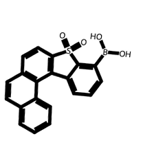 O=S1(=O)c2ccc3ccc4ccccc4c3c2-c2cccc(B(O)O)c21